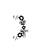 CC(C)([C@H]1C[C@H](NS(=O)(=O)c2ccc(C(F)(F)F)cc2Cl)C1)S(=O)(=O)c1cccc(C(F)(F)F)c1